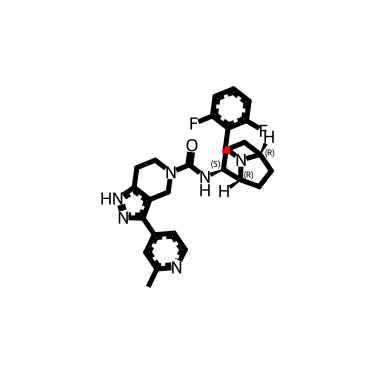 Cc1cc(-c2n[nH]c3c2CN(C(=O)N[C@H]2CC[C@@H]4CC[C@H]2N4Cc2c(F)cccc2F)CC3)ccn1